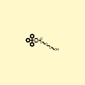 O=C(OCCOCCOCCO)N1CCN(C(c2ccccc2)(c2ccccc2)c2ccccc2)CC1